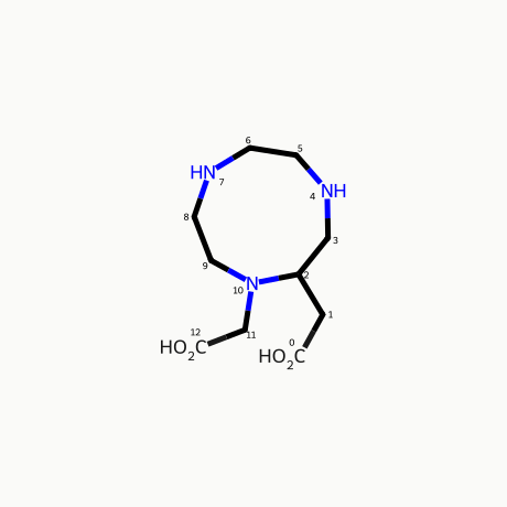 O=C(O)CC1CNCCNCCN1CC(=O)O